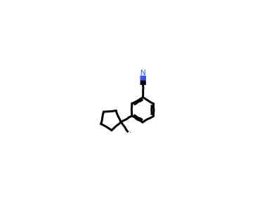 [CH2]C1(c2cccc(C#N)c2)CCCC1